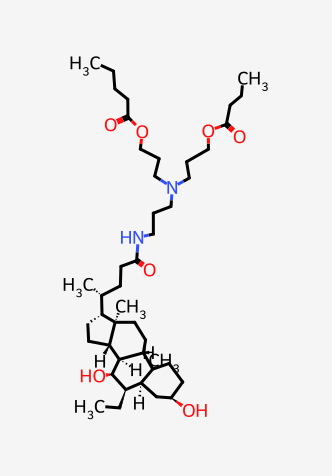 CCCCC(=O)OCCCN(CCCNC(=O)CC[C@@H](C)[C@H]1CC[C@H]2[C@@H]3[C@H](O)[C@H](CC)[C@@H]4C[C@H](O)CC[C@]4(C)[C@H]3CC[C@]12C)CCCOC(=O)CCC